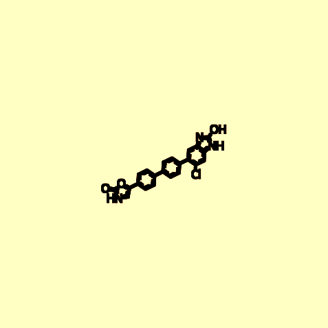 O=c1[nH]cc(-c2ccc(-c3ccc(-c4cc5nc(O)[nH]c5cc4Cl)cc3)cc2)o1